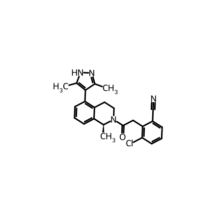 Cc1n[nH]c(C)c1-c1cccc2c1CCN(C(=O)Cc1c(Cl)cccc1C#N)[C@H]2C